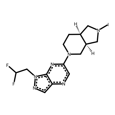 FC(F)Cn1ncc2ncc(N3CC[C@H]4CN(I)C[C@H]4C3)nc21